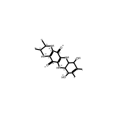 CC1=C(C)C(O)C2NC3=C(NC2C1O)C(=O)C1=C(NC(C)C(C)N1)C3=O